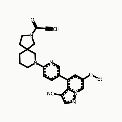 C#CC(=O)N1CCC2(CCCN(c3ccc(-c4cc(OCC)cn5ncc(C#N)c45)cn3)C2)C1